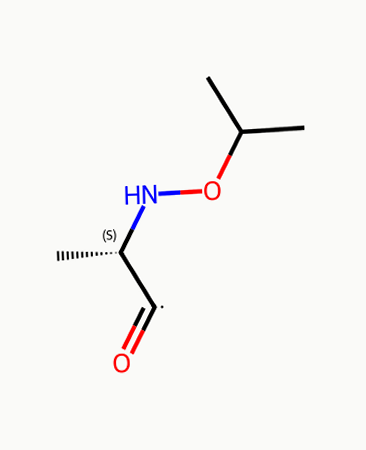 CC(C)ON[C@@H](C)[C]=O